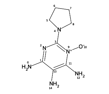 Nc1nc(N2CCCC2)[n+]([O-])c(N)c1N